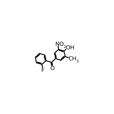 Cc1cc(C(=O)c2ccccc2F)cc([N+](=O)[O-])c1O